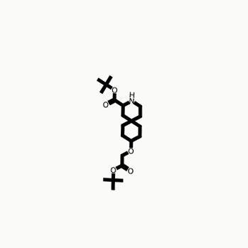 CC(C)(C)OC(=O)COC1CCC2(CCNC(C(=O)OC(C)(C)C)C2)CC1